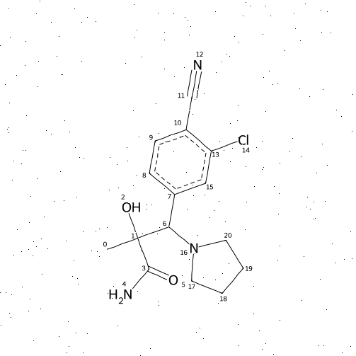 CC(O)(C(N)=O)C(c1ccc(C#N)c(Cl)c1)N1CCCC1